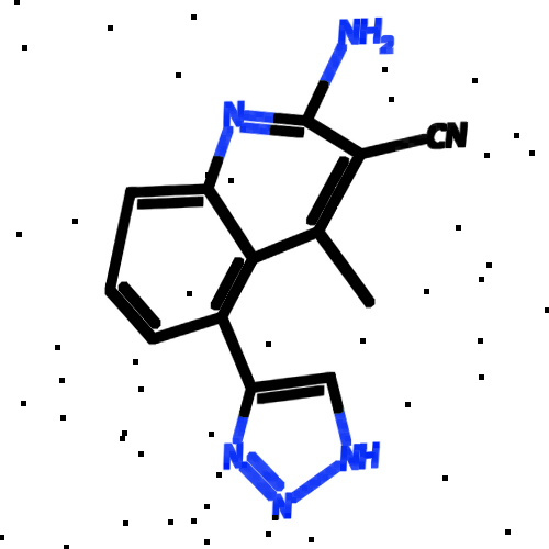 Cc1c(C#N)c(N)nc2cccc(-c3c[nH]nn3)c12